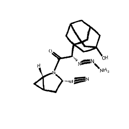 N#C[C@@H]1CC2C[C@@H]2N1C(=O)[C@@H](N=NN)C12CC3CC(CC(O)(C3)C1)C2